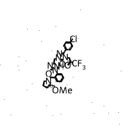 COC[C@H]1CCCN1C(=O)c1ccccc1-n1cnc(Cn2nc(-c3ccc(Cl)cc3)n(C[C@H](O)C(F)(F)F)c2=O)n1